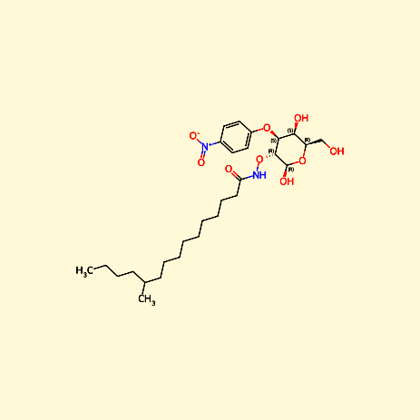 CCCCC(C)CCCCCCCCCC(=O)NO[C@@H]1[C@@H](Oc2ccc([N+](=O)[O-])cc2)[C@@H](O)[C@@H](CO)O[C@H]1O